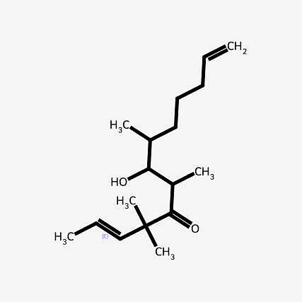 C=CCCCC(C)C(O)C(C)C(=O)C(C)(C)/C=C/C